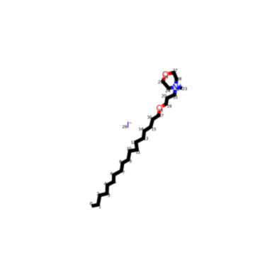 CCCCCCCCCCCCCCCCCCOCCC[N+]1(C)CCOCC1.[I-]